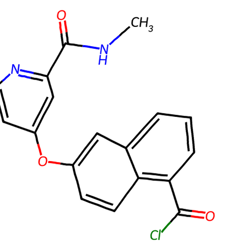 CNC(=O)c1cc(Oc2ccc3c(C(=O)Cl)cccc3c2)ccn1